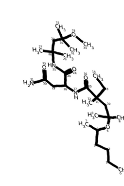 CCCCC(C)OC(C)(C)CC(C)(CC)C(=O)NC(CC(N)=O)C(=O)NC(C)(C)CC(C)(C)OC